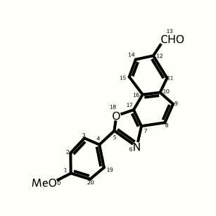 COc1ccc(-c2nc3ccc4cc(C=O)ccc4c3o2)cc1